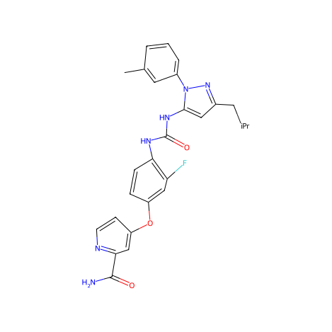 Cc1cccc(-n2nc(CC(C)C)cc2NC(=O)Nc2ccc(Oc3ccnc(C(N)=O)c3)cc2F)c1